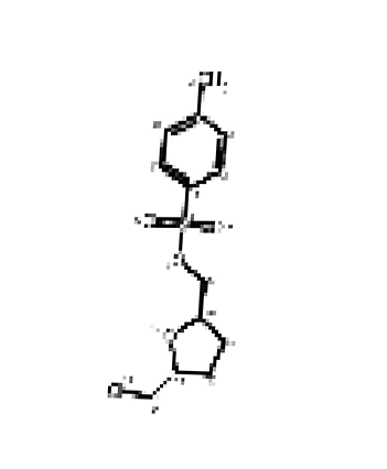 Cc1ccc(S(=O)(=O)OC[C@H]2CC[C@H](CCl)O2)cc1